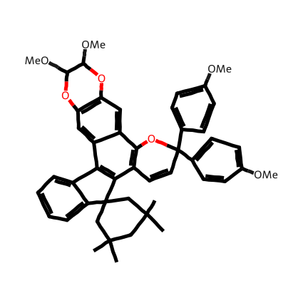 COc1ccc(C2(c3ccc(OC)cc3)C=Cc3c4c(c5cc6c(cc5c3O2)OC(OC)C(OC)O6)-c2ccccc2C42CC(C)(C)CC(C)(C)C2)cc1